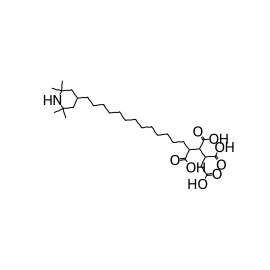 CC1(C)CC(CCCCCCCCCCCCCC(C(=O)O)C(C(=O)O)C(CC(=O)O)C(=O)O)CC(C)(C)N1